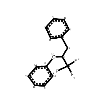 FC(F)(F)C(Cc1ccccc1)Oc1cc[c]cc1